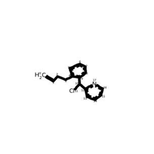 C=CCCc1ccccc1C(Cl)c1ccccn1